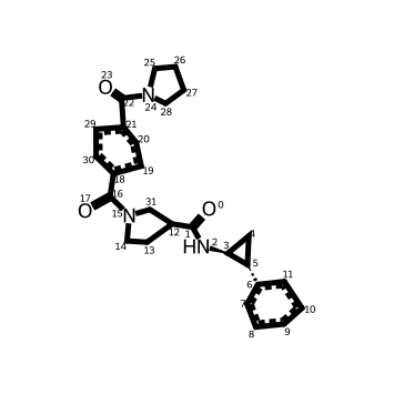 O=C(N[C@H]1C[C@@H]1c1ccccc1)C1CCN(C(=O)c2ccc(C(=O)N3CCCC3)cc2)C1